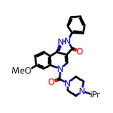 COc1ccc2c3nn(-c4ccccc4)c(=O)c-3cn(C(=O)N3CCN(C(C)C)CC3)c2c1